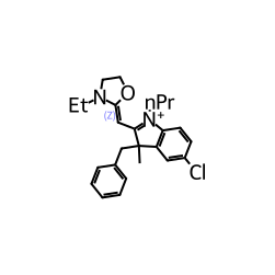 CCC[N+]1=C(/C=C2\OCCN2CC)C(C)(Cc2ccccc2)c2cc(Cl)ccc21